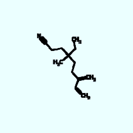 C=CC(=C)CCC(C)(CC)CCC#N